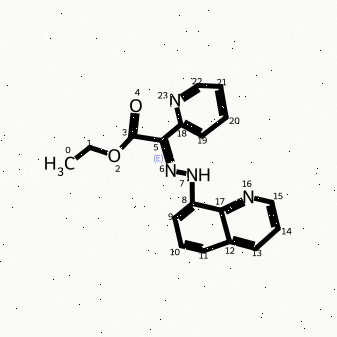 CCOC(=O)/C(=N/Nc1cccc2cccnc12)c1ccccn1